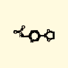 O=[SH](=O)Cc1ccc(B2OCCO2)cn1